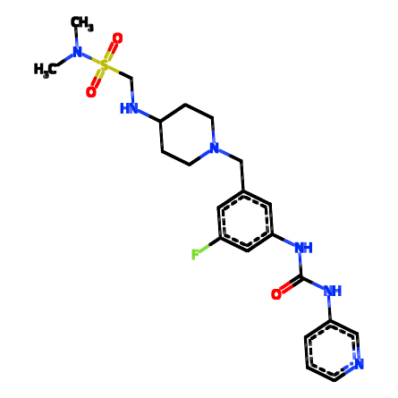 CN(C)S(=O)(=O)CNC1CCN(Cc2cc(F)cc(NC(=O)Nc3cccnc3)c2)CC1